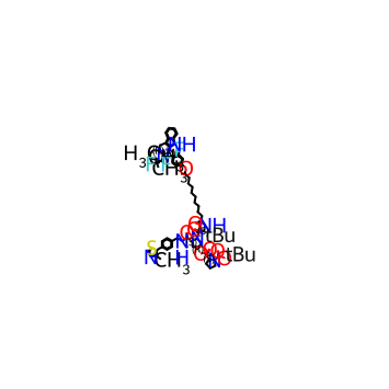 Cc1ncsc1-c1ccc(CNC(=O)[C@@H]2C[C@@H](OC(=O)[C@@H]3CCCN3C(=O)OC(C)(C)C)CN2C(=O)[C@@H](NC(=O)CCCCCCCCCCOc2cc(F)c([C@@H]3c4[nH]c5ccccc5c4C[C@@H](C)N3CC(C)(C)F)c(F)c2)C(C)(C)C)cc1